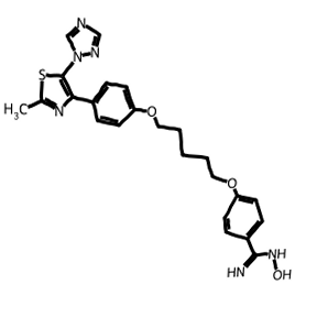 Cc1nc(-c2ccc(OCCCCCOc3ccc(C(=N)NO)cc3)cc2)c(-n2cncn2)s1